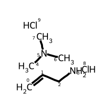 C=CCN.CN(C)C.Cl.Cl